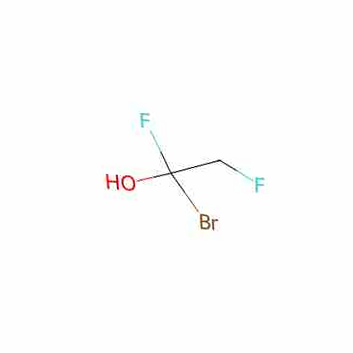 OC(F)(Br)CF